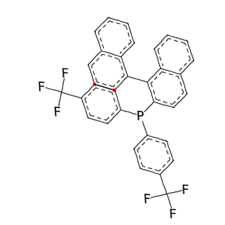 FC(F)(F)c1ccc(P(c2ccc(C(F)(F)F)cc2)c2ccc3ccccc3c2-c2cccc3ccccc23)cc1